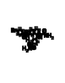 NC(=O)c1nn(-c2ccc(S(N)(=O)=O)cc2)c2c1CCc1ccc(NS(=O)(=O)c3ccc(Br)cc3)cc1-2